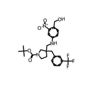 CC(C)(C)OC(=O)N1CCC(CNc2ccc(CO)c([N+](=O)[O-])c2)(Cc2cccc(C(F)(F)F)c2)C1